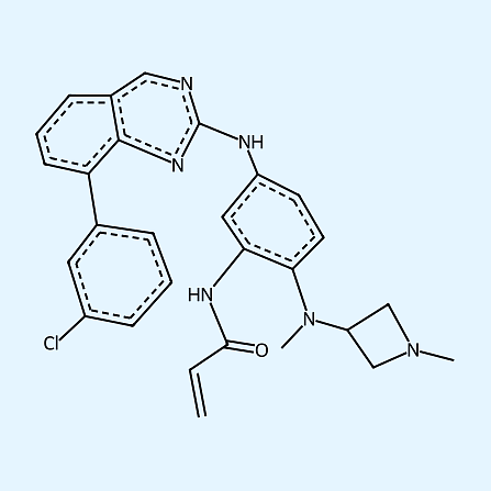 C=CC(=O)Nc1cc(Nc2ncc3cccc(-c4cccc(Cl)c4)c3n2)ccc1N(C)C1CN(C)C1